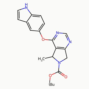 CC1c2c(ncnc2Oc2ccc3[nH]ccc3c2)CN1C(=O)OC(C)(C)C